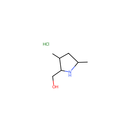 CC1CC(C)C(CO)N1.Cl